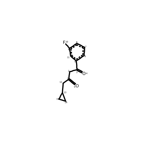 O=C(CC(=O)c1cccc(F)c1)CC1CC1